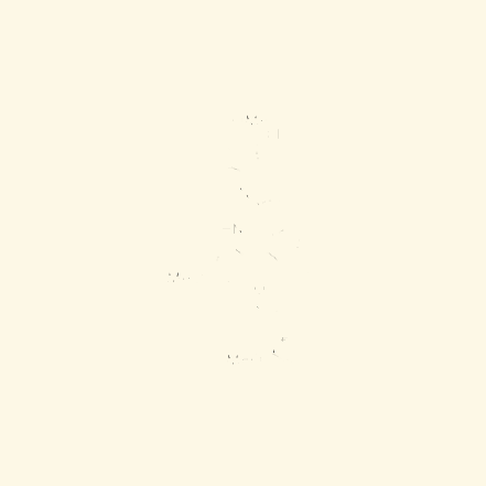 COC(=O)[C@@H]1C[C@@H]1COc1cc(NC(C(=O)N2CCc3cc(OC)c(C(F)(F)F)cc32)c2ccc(Cl)cc2)cc(OC)c1